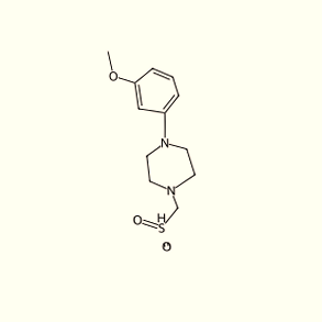 COc1cccc(N2CCN(C[SH](=O)=O)CC2)c1